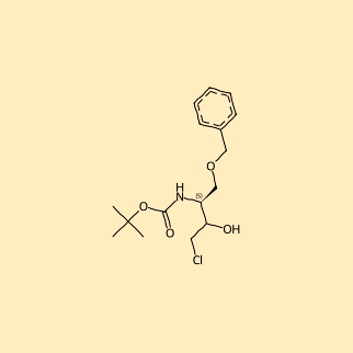 CC(C)(C)OC(=O)N[C@@H](COCc1ccccc1)C(O)CCl